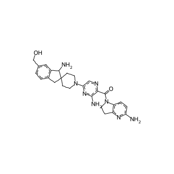 Nc1ccc2c(n1)CCN2C(=O)c1ncc(N2CCC3(CC2)Cc2ccc(CO)cc2C3N)nc1N